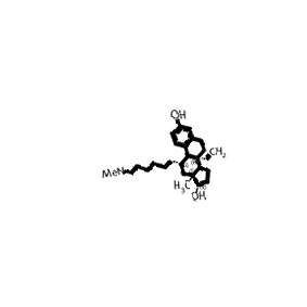 C=C[C@@]12CCc3cc(O)ccc3C1[C@@H](CCCCCCNC)C[C@@]1(C)C2CC[C@@H]1O